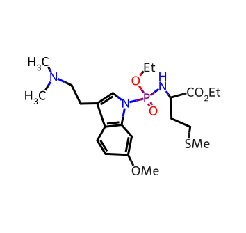 CCOC(=O)C(CCSC)NP(=O)(OCC)n1cc(CCN(C)C)c2ccc(OC)cc21